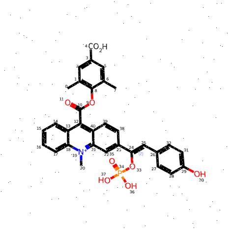 Cc1cc(C(=O)O)cc(C)c1OC(=O)c1c2ccccc2[n+](C)c2cc(/C(=C/c3ccc(O)cc3)OP(=O)(O)O)ccc12